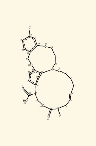 CN1C/C=C/CCCCN2CCCCc3cc(Cl)ccc3COc3ccc(cc32)[C@H](C(=O)O)CCC1=O